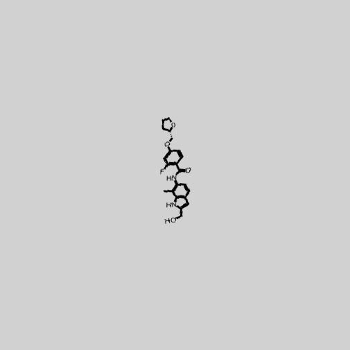 Cc1c(NC(=O)c2ccc(OC[C@@H]3CCCO3)cc2F)ccc2cc(CO)[nH]c12